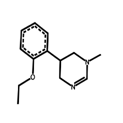 CCOc1ccccc1C1CN=CN(C)C1